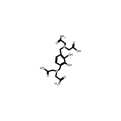 NC(=O)CN(CC(=O)O)Cc1ccc(CN(CC(N)=O)CC(=O)O)c(O)c1O